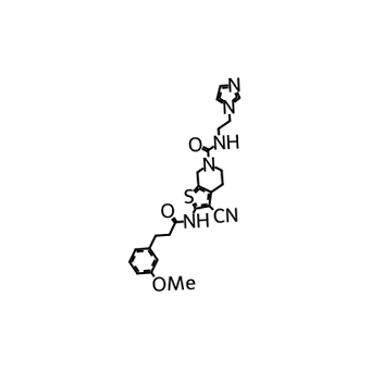 COc1cccc(CCC(=O)Nc2sc3c(c2C#N)CCN(C(=O)NCCn2ccnc2)C3)c1